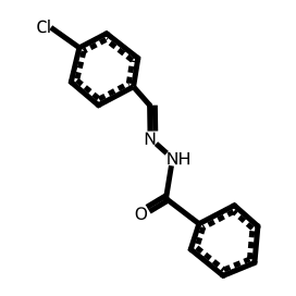 O=C(NN=Cc1ccc(Cl)cc1)c1ccccc1